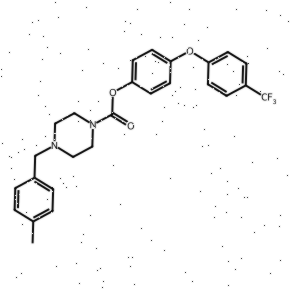 Cc1ccc(CN2CCN(C(=O)Oc3ccc(Oc4ccc(C(F)(F)F)cc4)cc3)CC2)cc1